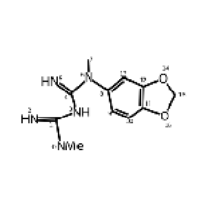 CNC(=N)NC(=N)N(C)c1ccc2c(c1)OCO2